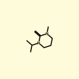 C=C1N(C)CCCN1C(C)C